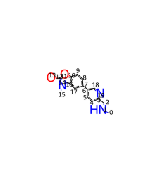 CNCc1ccc(-c2ccc3oc(=O)n(C)c3c2)cn1